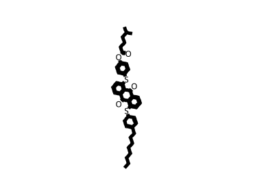 CCCCCCCCC1=CCC(Sc2cccc3c2C(=O)c2cccc(Sc4ccc(OC(=O)CCCC(C)C)cc4)c2C3=O)C=C1